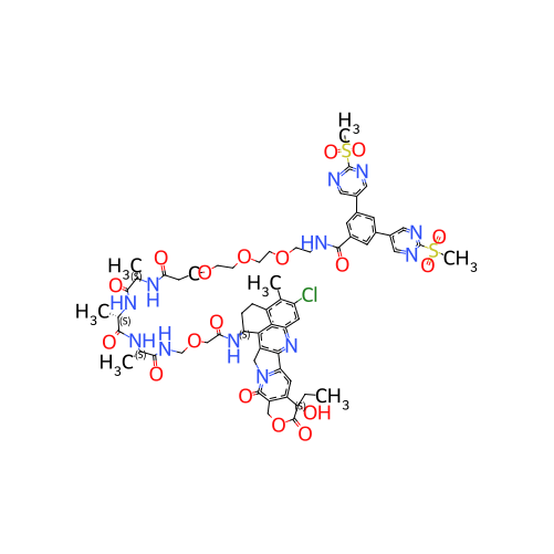 CC[C@@]1(O)C(=O)OCc2c1cc1n(c2=O)Cc2c-1nc1cc(Cl)c(C)c3c1c2[C@@H](NC(=O)COCNC(=O)[C@H](C)NC(=O)[C@H](C)NC(=O)[C@H](C)NC(=O)CCOCCOCCOCCNC(=O)c1cc(-c2cnc(S(C)(=O)=O)nc2)cc(-c2cnc(S(C)(=O)=O)nc2)c1)CC3